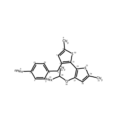 CCCCCCc1ccc(Cc2cc(C)sc2-c2sc(C)cc2OC(C)CCCCCC)cc1